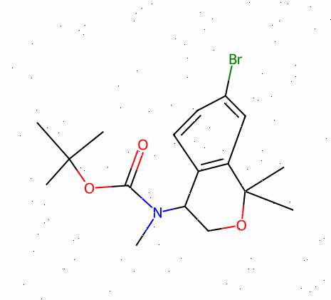 CN(C(=O)OC(C)(C)C)C1COC(C)(C)c2cc(Br)ccc21